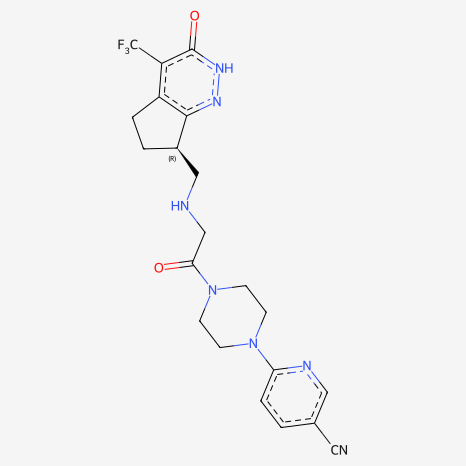 N#Cc1ccc(N2CCN(C(=O)CNC[C@H]3CCc4c3n[nH]c(=O)c4C(F)(F)F)CC2)nc1